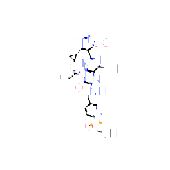 CC[C@H](C)n1c(=O)c(NCc2ccc(S(=O)(=O)CC)nc2)nc2c(C)nc(-c3c(OC)ncnc3C3CC3)nc21